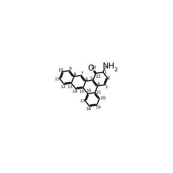 NC1C=Cc2c(c3cc4ccccc4cc3c3ccccc23)C1=O